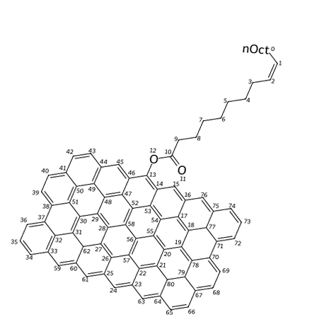 CCCCCCCC/C=C\CCCCCCCC(=O)Oc1c2cc3c4c5c6c7c8c9c(cc%10c%11c%12c%13c%14c%15c%16c%17c(cccc%17c%17ccc%18ccc%19cc1c(c%14c%19c%18c%17%15)c1c2c4c7c(c9%11)c%131)C=C(C=%10)C%16%12)C=C1C=CC2=CC=C(C4=CC=CC(=C3)C45)C=6C2C18